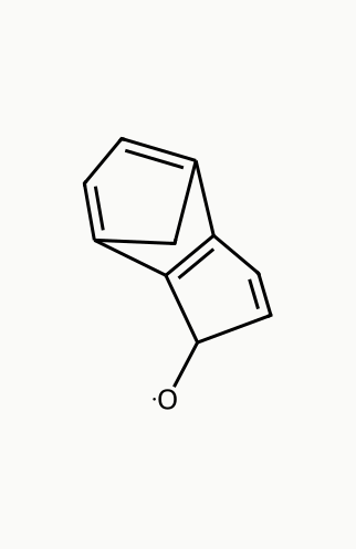 [O]C1C=CC2=C1C1=CC=C2C1